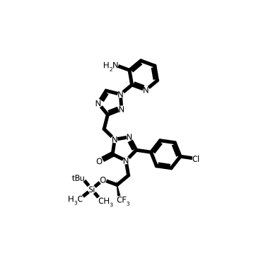 CC(C)(C)[Si](C)(C)O[C@@H](Cn1c(-c2ccc(Cl)cc2)nn(Cc2ncn(-c3ncccc3N)n2)c1=O)C(F)(F)F